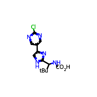 CC(C)(C)C(NC(=O)O)c1nc(-c2cnc(Cl)nc2)c[nH]1